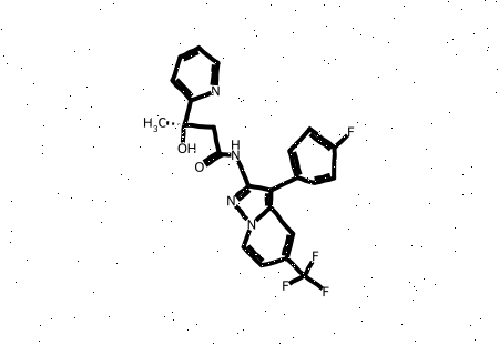 C[C@@](O)(CC(=O)Nc1nn2ccc(C(F)(F)F)cc2c1-c1ccc(F)cc1)c1ccccn1